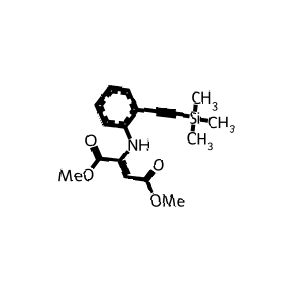 COC(=O)/C=C(\Nc1ccccc1C#C[Si](C)(C)C)C(=O)OC